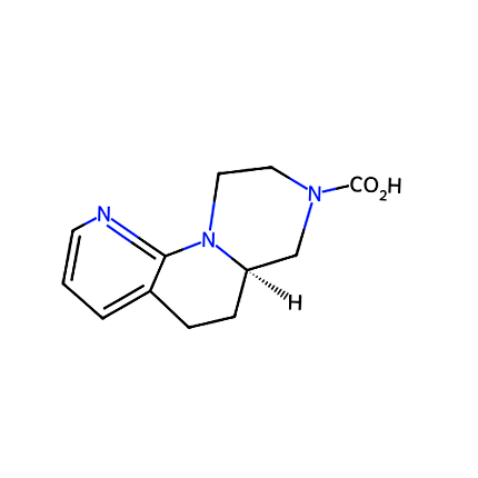 O=C(O)N1CCN2c3ncccc3CC[C@@H]2C1